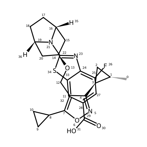 C[C@H]1C[C@@H]1c1noc(C2CC2)c1CO[C@@H]1C[C@H]2CC[C@@H](C1)N2c1nc2c(F)cc(C(=O)O)cc2s1